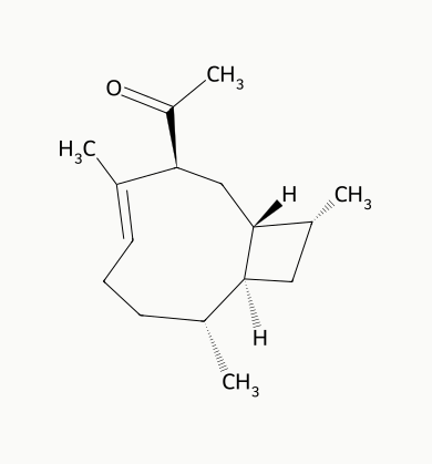 CC(=O)[C@H]1C[C@H]2[C@@H](C[C@H]2C)[C@H](C)CC/C=C/1C